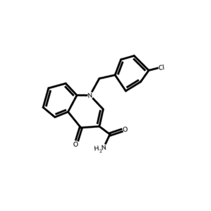 NC(=O)c1cn(Cc2ccc(Cl)cc2)c2ccccc2c1=O